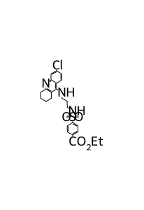 CCOC(=O)c1ccc(S(=O)(=O)NCCCNc2c3c(nc4cc(Cl)ccc24)CCCC3)cc1